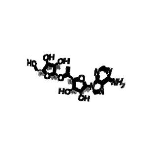 CC(O[C@@H]1O[C@H](CO)[C@@H](O)[C@H]1O)[C@H]1O[C@@H](n2cnc3c(N)ncnc32)[C@H](O)[C@@H]1O